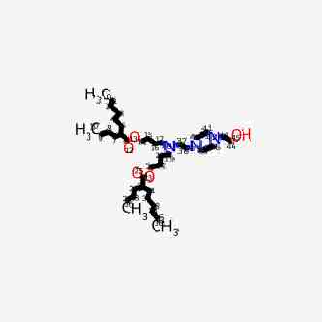 CCCCCCC(CCCC)C(=O)OCCCCN(CCCCOC(=O)C(CCCC)CCCCCC)CCN1CCN(CCO)CC1